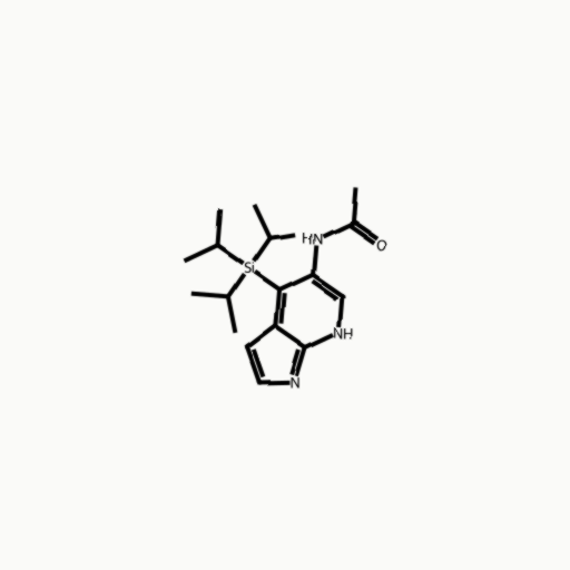 CC(=O)Nc1c[nH]c2nccc-2c1[Si](C(C)C)(C(C)C)C(C)C